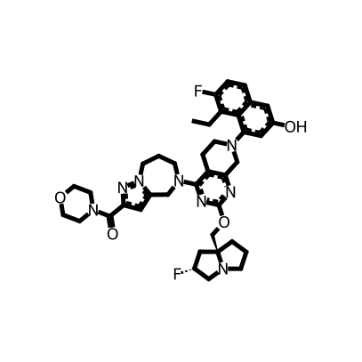 CCc1c(F)ccc2cc(O)cc(N3CCc4c(nc(OC[C@@]56CCCN5C[C@H](F)C6)nc4N4CCCn5nc(C(=O)N6CCOCC6)cc5C4)C3)c12